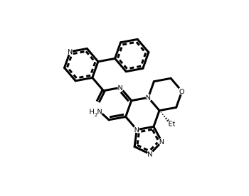 C=C(/N=C1\C(=C/N)n2cnnc2[C@]2(CC)COCCN12)c1ccncc1-c1ccccc1